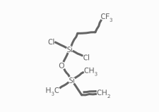 C=C[Si](C)(C)O[Si](Cl)(Cl)CCC(F)(F)F